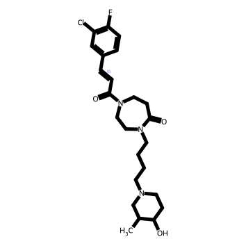 CC1CN(CCCCN2CCN(C(=O)/C=C/c3ccc(F)c(Cl)c3)CCC2=O)CCC1O